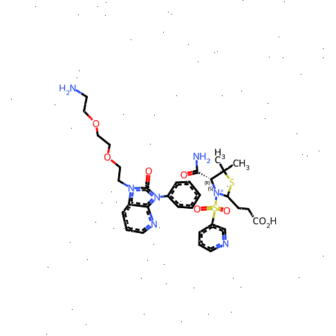 CC1(C)SC(CCC(=O)O)[N@+](c2ccc(-n3c(=O)n(CCOCCOCCN)c4cccnc43)cc2)(S(=O)(=O)c2cccnc2)[C@@H]1C(N)=O